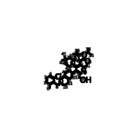 Cc1cccc(Cl)c1CN1CCc2cc(-c3c(CO)nc(C)c([C@H](OC(C)(C)C)C(=O)OC(C)C)c3N3CCC(C)(C)CC3)ccc2C1